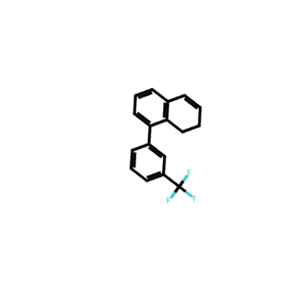 FC(F)(F)c1cccc(-c2cccc3c2CCC=C3)c1